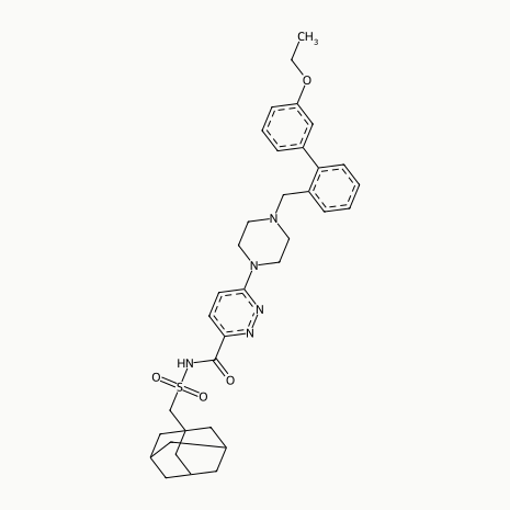 CCOc1cccc(-c2ccccc2CN2CCN(c3ccc(C(=O)NS(=O)(=O)CC45CC6CC(CC(C6)C4)C5)nn3)CC2)c1